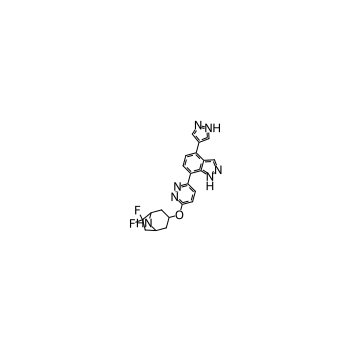 FC1(F)CC2CC(Oc3ccc(-c4ccc(-c5cn[nH]c5)c5cn[nH]c45)nn3)CC1N2